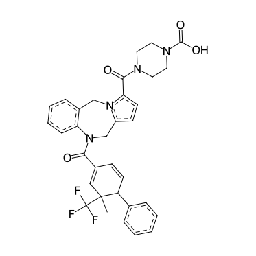 CC1(C(F)(F)F)C=C(C(=O)N2Cc3ccc(C(=O)N4CCN(C(=O)O)CC4)n3Cc3ccccc32)C=CC1c1ccccc1